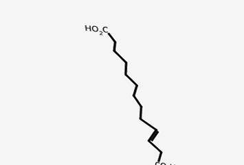 O=C(O)C/C=C/CCCCCCCCC(=O)O